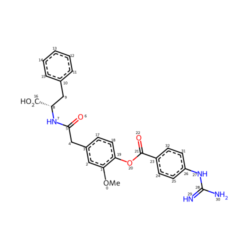 COc1cc(CC(=O)N[C@@H](Cc2ccccc2)C(=O)O)ccc1OC(=O)c1ccc(NC(=N)N)cc1